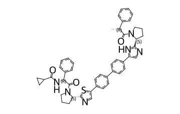 C[C@@H](C(=O)N1CCC[C@H]1c1ncc(-c2ccc(-c3ccc(-c4cnc([C@@H]5CCCN5C(=O)[C@H](NC(=O)C5CC5)c5ccccc5)s4)cc3)cc2)[nH]1)c1ccccc1